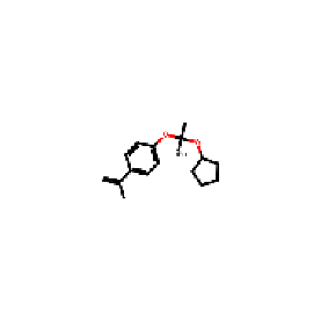 C=C(C)c1ccc(OC(C)(OC2CCCC2)C(C)(C)C)cc1